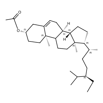 CC[C@H](CC[C@@H](C)[C@H]1CC[C@H]2[C@@H]3CC=C4C[C@@H](OC(C)=O)CC[C@]4(C)C3CC[C@]12C)C(C)C